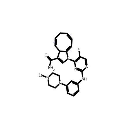 CCN1CCN(c2cccc(Nc3ncc(F)c(N4C=C(C(N)=O)C5/C=C\C/C=C\C=C/54)n3)c2)CC1